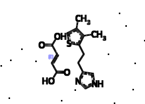 Cc1csc(CCc2c[nH]cn2)c1C.O=C(O)/C=C/C(=O)O